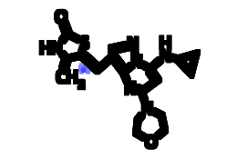 C=c1[nH]c(=O)s/c1=C\c1cnn2c(NC3CC3)cc(N3CCOCC3)nc12